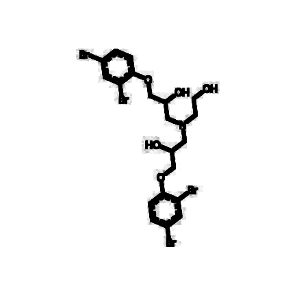 OCCN(CC(O)COc1ccc(Br)cc1Br)CC(O)COc1ccc(Br)cc1Br